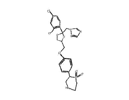 O=S1(=O)CCNCC1c1ccc(OCC2COC(Cn3cncn3)(c3ccc(Cl)cc3Cl)O2)cc1